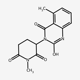 Cc1cccc2nc(O)n(C3CCC(=O)N(C)C3=O)c(=O)c12